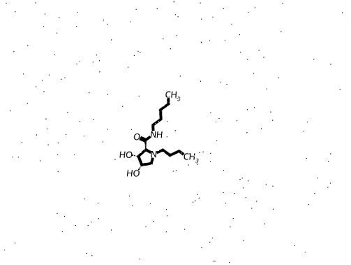 CCCCCNC(=O)[C@@H]1[C@@H](O)[C@@H](O)CN1CCCC